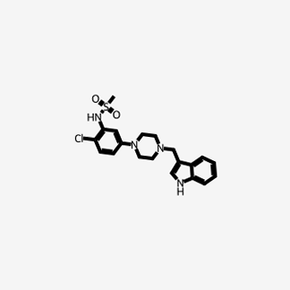 CS(=O)(=O)Nc1cc(N2CCN(Cc3c[nH]c4ccccc34)CC2)ccc1Cl